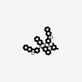 Cc1cc(C)c(B2c3cc4oc5cc6ccccc6cc5c4cc3N3c4cc5ccccc5cc4N(c4ccc5oc6cc7ccccc7cc6c5c4)c4cc5ccccc5c2c43)c(C)c1